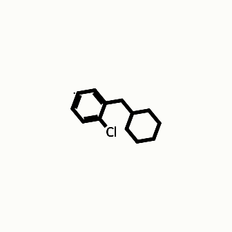 Clc1cc[c]cc1CC1CCCCC1